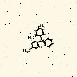 Cc1ccc([S+](c2ccccc2)c2ccc(C)cc2C)cc1